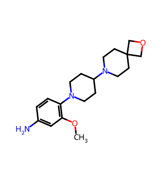 COc1cc(N)ccc1N1CCC(N2CCC3(CC2)COC3)CC1